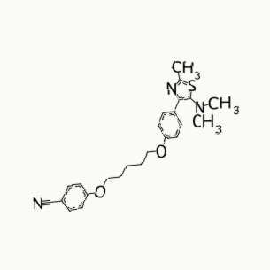 Cc1nc(-c2ccc(OCCCCCOc3ccc(C#N)cc3)cc2)c(N(C)C)s1